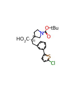 CC(C)(C)OC(=O)N1CC[C@H]([C@H](Cc2cccc(-c3ccc(Cl)s3)c2)C(=O)O)C1